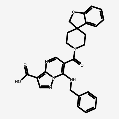 O=C(O)c1cnn2c(NCc3ccccc3)c(C(=O)N3CCC4(CC3)COc3ccccc34)cnc12